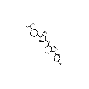 Cc1cc(NC(=O)c2cnn(-c3ccc(C(F)(F)F)cn3)c2C)cnc1C1CCCN(C(=O)C(C)(C)C)CC1